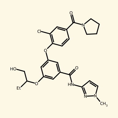 CCC(CO)Oc1cc(Oc2ccc(C(=O)N3CCCC3)cc2Cl)cc(C(=O)Nc2ccn(C)n2)c1